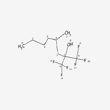 CCCCC(C)CC(O)(C(F)(F)F)C(F)(F)F